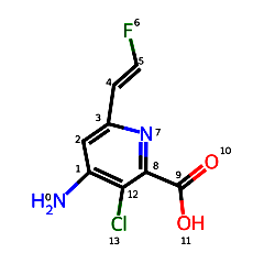 Nc1cc(C=CF)nc(C(=O)O)c1Cl